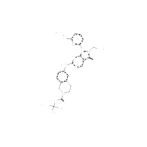 CCn1c(=O)c2cnc(Nc3ccc4c(c3)CCN(C(=O)OC(C)(C)C)C4)nc2n1-c1cccc(OC)n1